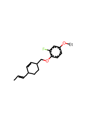 C/C=C/C1C=CC(COc2ccc(OCC)cc2F)CC1